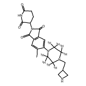 [2H]C1([2H])N(CC2CNC2)C([2H])([2H])C([2H])([2H])N(c2cc3c(cc2F)C(=O)N(C2CCC(=O)NC2=O)C3=O)C1([2H])[2H]